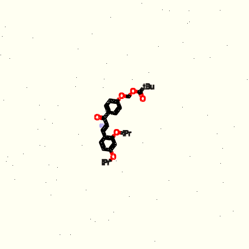 CC(C)Oc1ccc(/C=C/C(=O)c2ccc(OCOC(=O)C(C)(C)C)cc2)c(OC(C)C)c1